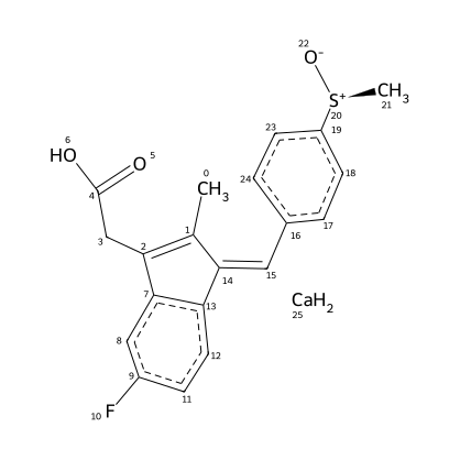 CC1=C(CC(=O)O)c2cc(F)ccc2C1=Cc1ccc([S@+](C)[O-])cc1.[CaH2]